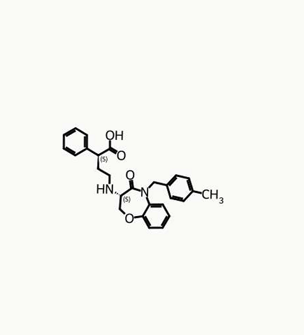 Cc1ccc(CN2C(=O)[C@@H](NCC[C@H](C(=O)O)c3ccccc3)COc3ccccc32)cc1